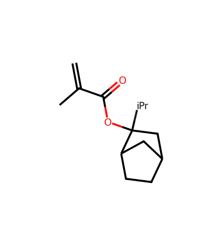 C=C(C)C(=O)OC1(C(C)C)CC2CCC1C2